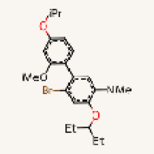 CCC(CC)Oc1cc(Br)c(-c2ccc(OC(C)C)cc2OC)cc1NC